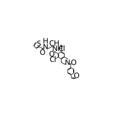 CC(CNC(=O)c1cccs1)NC(=O)c1c(Cl)cc2c(c1Cl)CCN(C(=O)c1ccc3ccoc3c1)C2